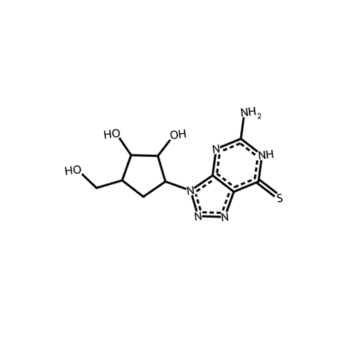 Nc1nc2c(nnn2C2CC(CO)C(O)C2O)c(=S)[nH]1